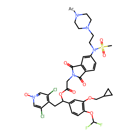 CC(=O)N1CCN(CCN(c2ccc3c(c2)C(=O)N(CC(=O)OC(Cc2c(Cl)c[n+]([O-])cc2Cl)c2ccc(OC(F)F)c(OCC4CC4)c2)C3=O)S(C)(=O)=O)CC1